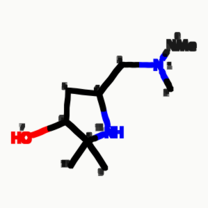 CNN(C)CC1CC(O)C(C)(C)N1